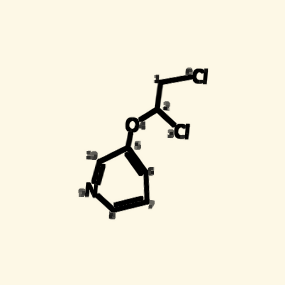 ClCC(Cl)Oc1cccnc1